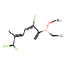 C=C(B(CC(C)(C)C)OC(C)(C)C)/C(F)=C\C=C(/C)C(F)F